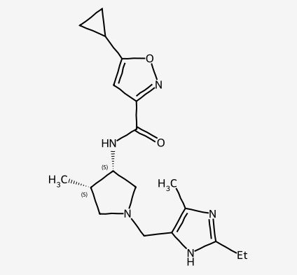 CCc1nc(C)c(CN2C[C@H](C)[C@H](NC(=O)c3cc(C4CC4)on3)C2)[nH]1